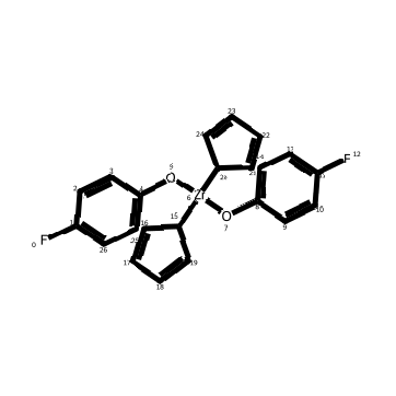 Fc1ccc([O][Zr]([O]c2ccc(F)cc2)([CH]2C=CC=C2)[CH]2C=CC=C2)cc1